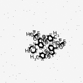 Cc1ccc(S(=O)(=O)n2ccc3c(C=O)cccc32)cc1.Cc1ccc(S(=O)(=O)n2ccc3c(CN4CCCNCC4)cccc32)cc1.O=C(O)C(F)(F)F.O=C(O)C(F)(F)F